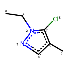 CCn1n[c]c(C)c1Cl